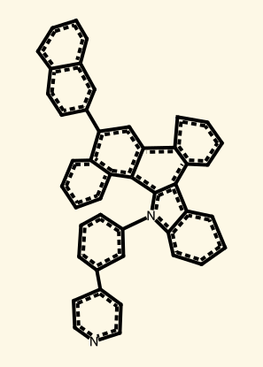 c1cc(-c2ccncc2)cc(-n2c3ccccc3c3c4ccccc4c4cc(-c5ccc6ccccc6c5)c5ccccc5c4c32)c1